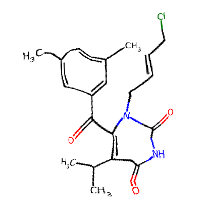 Cc1cc(C)cc(C(=O)c2c(C(C)C)c(=O)[nH]c(=O)n2C/C=C/CCl)c1